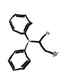 BrCC(Br)P(c1ccccc1)c1ccccc1